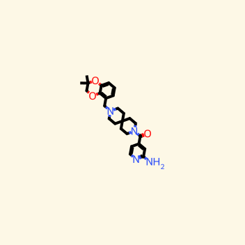 CC1(C)COc2c(CN3CCC4(CC3)CCN(C(=O)c3ccnc(N)c3)CC4)cccc2O1